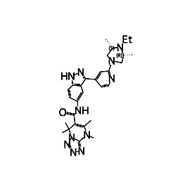 CCN1[C@H](C)CN(c2cc(-c3n[nH]c4ccc(NC(=O)C5=C(C)N(C)c6nnnn6C5(C)C)cc34)ccn2)C[C@@H]1C